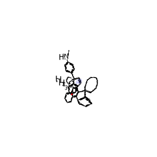 Cc1c(/C=C\C(C)(c2ccccc2)c2ccc(NI)cc2)c2c(c3ccccc13)-c1ccccc1C21CCCCCCC1